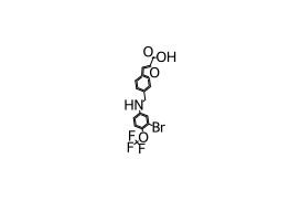 O=C(O)c1cc2ccc(CNc3ccc(OC(F)(F)F)c(Br)c3)cc2o1